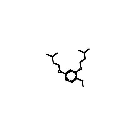 C[CH]c1ccc(OCCC(C)C)cc1OCCC(C)C